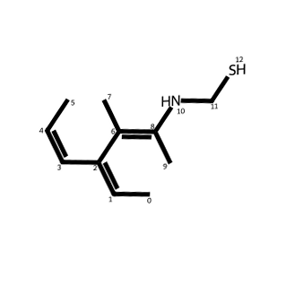 CC=C(/C=C\C)/C(C)=C(\C)NCS